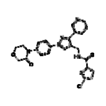 O=C(NCc1cn(-c2ccc(N3CCOCC3=O)cc2)nc1-c1cccnc1)c1ccc(Cl)s1